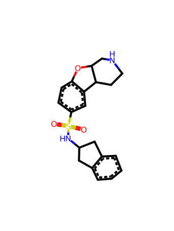 O=S(=O)(NC1Cc2ccccc2C1)c1ccc2c(c1)C1CCNCC1O2